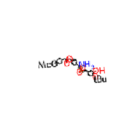 COc1ccc(CC(=O)Oc2ccc(C(N)CS(=O)(=O)/C=C/c3ccc(OC(C)(C)C)c(O)c3)cc2)cc1